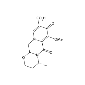 COc1c2n(cc(C(=O)O)c1=O)CC1OCC[C@@H](C)N1C2=O